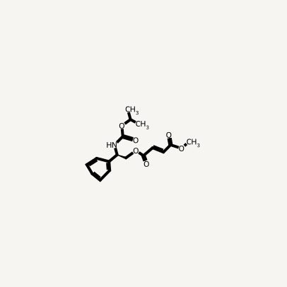 COC(=O)/C=C/C(=O)OC[C@H](NC(=O)OC(C)C)c1ccccc1